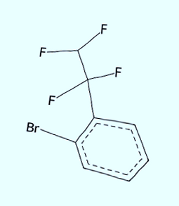 FC(F)C(F)(F)c1ccccc1Br